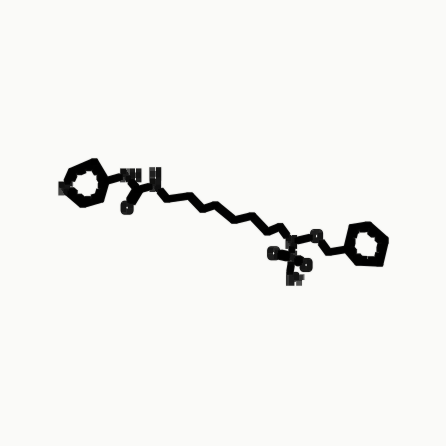 CC(C)S(=O)(=O)N(CCCCCCCCNC(=O)Nc1ccncc1)OCc1ccccc1